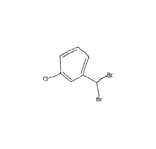 Clc1cccc(C(Br)Br)c1